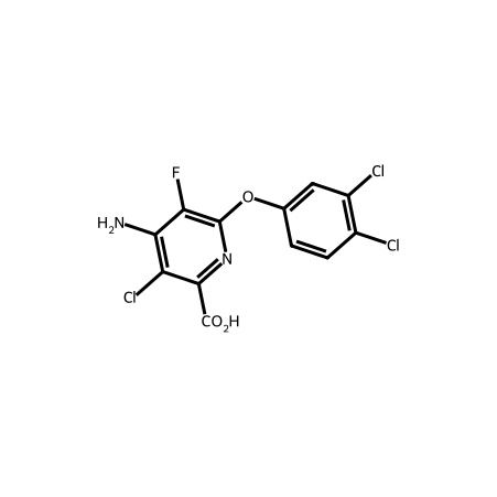 Nc1c(F)c(Oc2ccc(Cl)c(Cl)c2)nc(C(=O)O)c1Cl